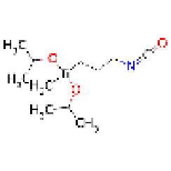 CC(C)[O][Ti]([CH3])([CH2]CCN=C=O)[O]C(C)C